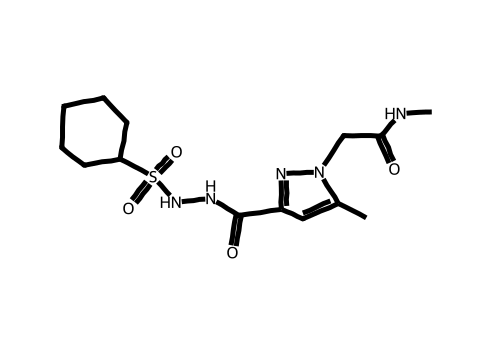 CNC(=O)Cn1nc(C(=O)NNS(=O)(=O)C2CCCCC2)cc1C